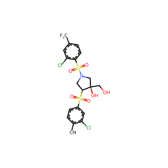 N#Cc1ccc(S(=O)(=O)[C@H]2CN(S(=O)(=O)c3ccc(C(F)(F)F)cc3Cl)C[C@]2(O)CO)cc1Cl